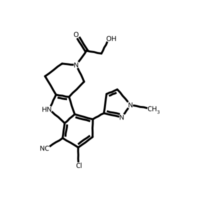 Cn1ccc(-c2cc(Cl)c(C#N)c3[nH]c4c(c23)CN(C(=O)CO)CC4)n1